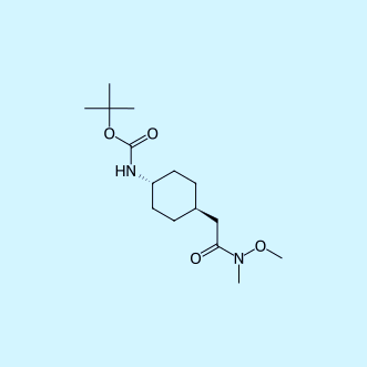 CON(C)C(=O)C[C@H]1CC[C@H](NC(=O)OC(C)(C)C)CC1